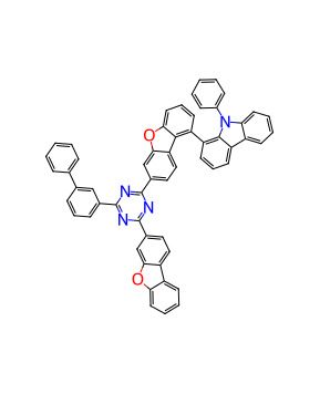 c1ccc(-c2cccc(-c3nc(-c4ccc5c(c4)oc4ccccc45)nc(-c4ccc5c(c4)oc4cccc(-c6cccc7c8ccccc8n(-c8ccccc8)c67)c45)n3)c2)cc1